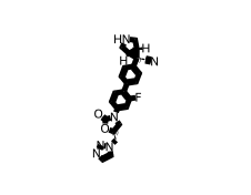 N#C[C@]1(c2ccc(-c3ccc(N4C[C@H](Cn5ccnn5)OC4=O)cc3F)cc2)[C@@H]2CNC[C@@H]21